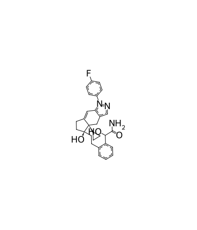 NC(=O)C(O)c1ccccc1CC[C@]1(O)CCC2=Cc3c(cnn3-c3ccc(F)cc3)C[C@@]21C1CC1